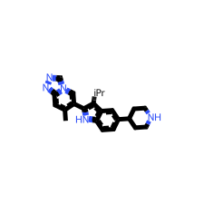 Cc1cc2nncn2cc1-c1[nH]c2ccc(C3CCNCC3)cc2c1C(C)C